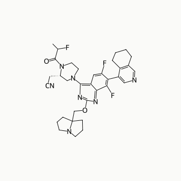 CC(F)C(=O)N1CCN(c2nc(OCC34CCCN3CCC4)nc3c(F)c(-c4cncc5c4CCCC5)c(F)cc23)C[C@@H]1CC#N